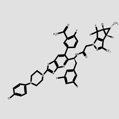 C[C@@H]1[C@@H]2c3c(C(F)(F)F)nn(CC(=O)N[C@@H](Cc4cc(F)cc(F)c4)c4nc5nc(N6CCN(c7ccc(Cl)cc7)CC6)sc5cc4-c4ccc(F)c(C(N)=O)c4)c3C(F)(F)[C@H]12